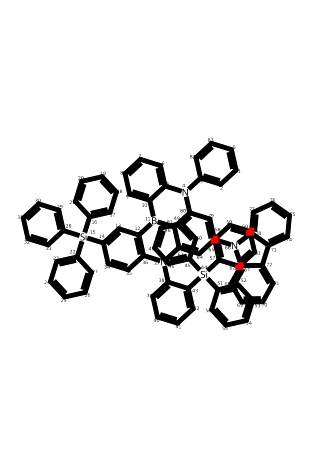 c1ccc(N2c3ccccc3B3c4cc([Si](c5ccccc5)(c5ccccc5)c5ccccc5)ccc4N(c4ccccc4[Si](c4ccccc4)(c4ccccc4)c4ccccc4)c4cc(-n5c6ccccc6c6ccccc65)cc2c43)cc1